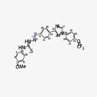 COc1ccc(NC(=S)N/N=C/c2ccc(-c3ncn(-c4ccc(OC(F)(F)F)cc4)n3)cc2)cc1